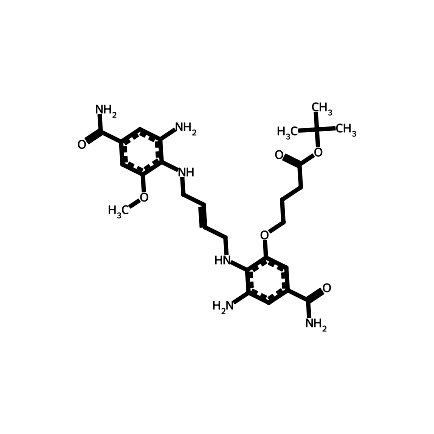 COc1cc(C(N)=O)cc(N)c1NC/C=C/CNc1c(N)cc(C(N)=O)cc1OCCCC(=O)OC(C)(C)C